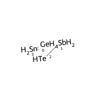 [GeH4].[SbH2][TeH].[SnH2]